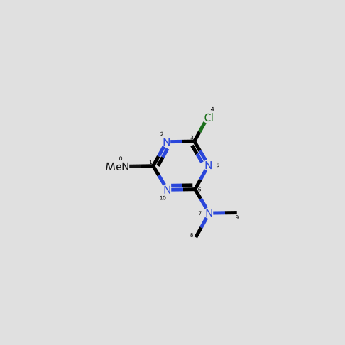 CNc1nc(Cl)nc(N(C)C)n1